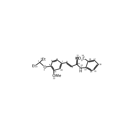 CCC(CC)Oc1ccc(C=CC(=O)Nc2ccccc2C(=O)O)cc1OC